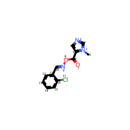 Cn1cncc1C(=O)ON=Cc1ccccc1Cl